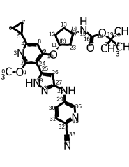 COc1nc(C2CC2)cc(O[C@@H]2CC[C@H](NC(=O)OC(C)(C)C)C2)c1-c1cc(Nc2ccc(C#N)nc2)n[nH]1